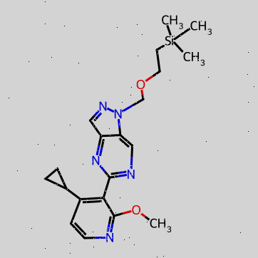 COc1nccc(C2CC2)c1-c1ncc2c(cnn2COCC[Si](C)(C)C)n1